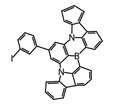 Ic1cccc(-c2cc3c4c(c2)-n2c5ccccc5c5cccc(c52)B4c2cccc4c5ccccc5n-3c24)c1